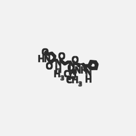 CC(C)OC(=O)N[C@@H](Cc1c[nH]c2ccccc12)C(=O)NCCC(=O)NC1CCC(=O)NC1=O